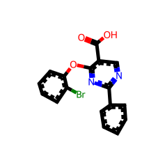 O=C(O)c1cnc(-c2ccccc2)nc1Oc1ccccc1Br